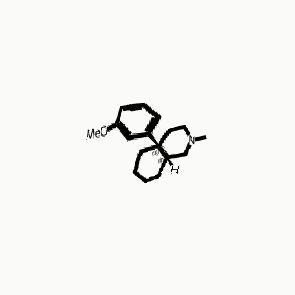 COc1cccc([C@]23CCCC[C@H]2CN(C)CC3)c1